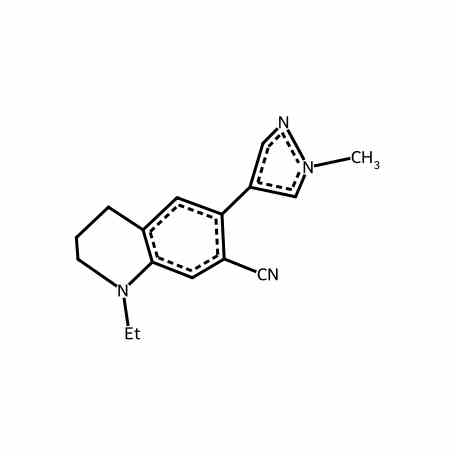 CCN1CCCc2cc(-c3cnn(C)c3)c(C#N)cc21